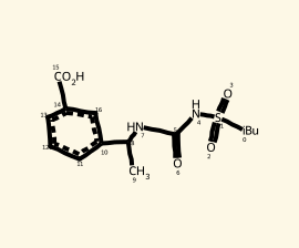 CCC(C)S(=O)(=O)NC(=O)NC(C)c1cccc(C(=O)O)c1